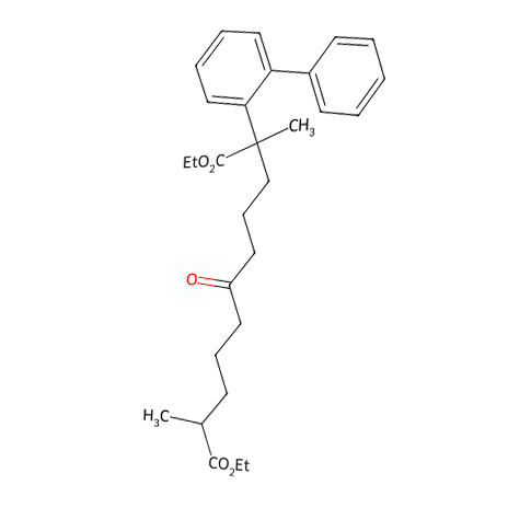 CCOC(=O)C(C)CCCC(=O)CCCC(C)(C(=O)OCC)c1ccccc1-c1ccccc1